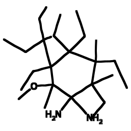 CCC(C)(CC)C1(CC)C(CC)(CC)C(C)(CC)C(C)(CC)C(N)(N)C1(C)OC